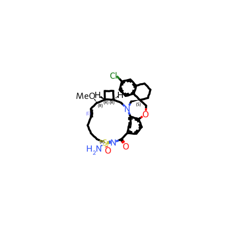 CO[C@H]1/C=C/CCC[S@](N)(=O)=NC(=O)c2ccc3c(c2)N(C[C@@H]2CC[C@H]21)C[C@@]1(CCCc2cc(Cl)ccc21)CO3